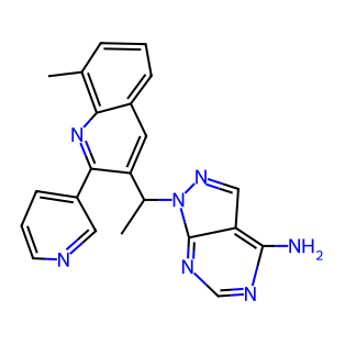 Cc1cccc2cc(C(C)n3ncc4c(N)ncnc43)c(-c3cccnc3)nc12